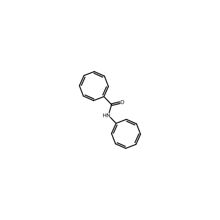 O=C(NC1=C/C=C\C=C/C=C\1)C1=C/C=C\C=C/C=C\1